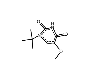 COc1cn(C(C)(C)C)c(=O)[nH]c1=O